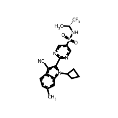 Cc1ccc2c(C#N)c(-c3ncc(S(=O)(=O)N[C@H](C)C(F)(F)F)cn3)n(C3CCC3)c2c1